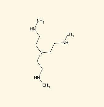 CNCCN(CCNC)CCNC